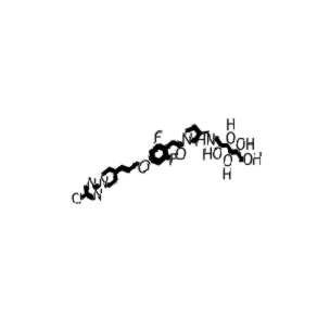 O=C(Cc1c(F)cc(OCCCC2CCN(c3ncc(Cl)cn3)CC2)cc1F)N1CC[C@@H](CNCC(O)C(O)C(O)C(O)CO)C1